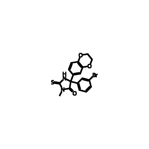 CN1C(=O)C(c2cccc(Br)c2)(c2ccc3c(c2)OCCO3)NC1=S